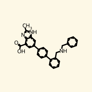 Cc1nc2c(C(=O)O)cc(-c3ccc(-c4ccccc4CNCc4ccccc4)cc3)cc2[nH]1